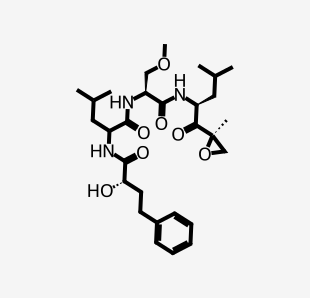 COC[C@H](NC(=O)C(CC(C)C)NC(=O)[C@@H](O)CCc1ccccc1)C(=O)N[C@@H](CC(C)C)C(=O)[C@@]1(C)CO1